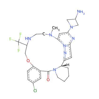 CN1CCNC(C(F)(F)F)COc2ccc(Cl)cc2C(=O)N2CCCC[C@H]2c2cc3nc(N4CC(N)C4)cc1n3n2